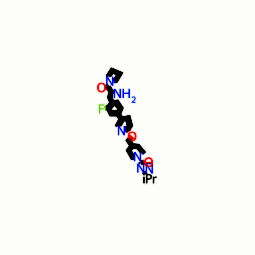 CC(C)c1noc(N2CCC(COc3ccc(-c4ccc(C[C@H](N)C(=O)N5CCCC5)c(F)c4)cn3)CC2)n1